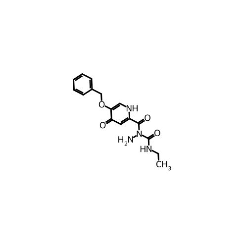 CCNC(=O)N(N)C(=O)c1cc(=O)c(OCc2ccccc2)c[nH]1